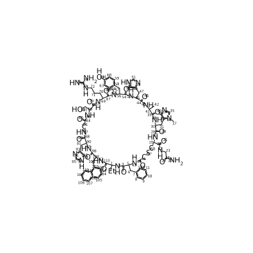 CCC1NC(=O)C(Cc2ccccc2)NC(=O)CSCC(C(=O)NCC(N)=O)NC(=O)C(Cc2cncn2C)NC(=O)C(C)NC(=O)C(Cc2c[nH]cn2)NC(=O)C(Cc2ccc(O)cc2)N(C)C(=O)C(CCCNC(=N)N)NC(=O)C(CO)NC(=O)CNC(=O)C(Cc2c[nH]cn2)NC(=O)C(Cc2cccc3ccccc23)NC1=O